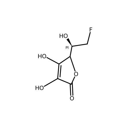 O=C1OC([C@@H](O)CF)C(O)=C1O